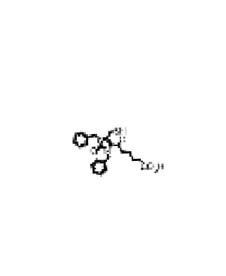 O=C(O)CCCCC(=O)c1c(CS)n(Cc2ccccc2)c(=O)n1Cc1ccccc1